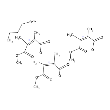 CCC[CH2][Sn+3].COC(=O)/C(C)=C(/C)C(=O)[O-].COC(=O)/C(C)=C(/C)C(=O)[O-].COC(=O)/C(C)=C(/C)C(=O)[O-]